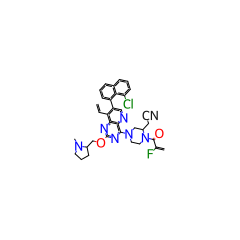 C=Cc1c(-c2cccc3cccc(Cl)c23)cnc2c(N3CCN(C(=O)C(=C)F)C(CC#N)C3)nc(OCC3CCCN3C)nc12